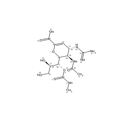 CNC(=O)O[C@@H](C1OC(C(=O)O)=C[C@H](NC(=N)N)[C@H]1NC(C)=O)[C@H](O)CO